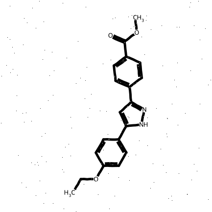 CCOc1ccc(-c2cc(-c3ccc(C(=O)OC)cc3)n[nH]2)cc1